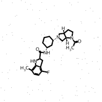 CC(=O)N1CC[C@H]2CN([C@H]3CCC[C@@H](NC(=O)C4Cc5c(F)ccc(C)c5N4)C3)C[C@H]21